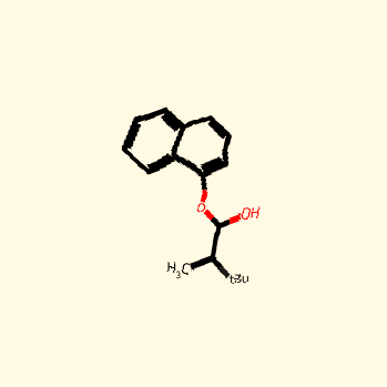 CC(C(O)Oc1cccc2ccccc12)C(C)(C)C